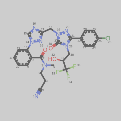 CN(CCC#N)C(=O)c1ccccc1-n1cnc(Cn2nc(-c3ccc(Cl)cc3)n(C[C@H](O)C(F)(F)F)c2=O)n1